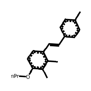 CCCOc1ccc(C=Cc2ccc(C)cc2)c(C)c1C